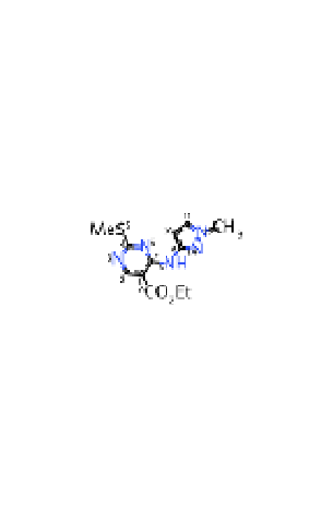 CCOC(=O)c1cnc(SC)nc1Nc1ccn(C)n1